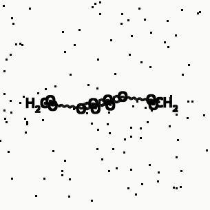 C=CC(=O)OCCCCCCCCCOc1ccc(OC(=O)c2ccc(OC(=O)C3CCC(OCCCCCCCCCOC(=O)C=C)CC3)cc2)cc1